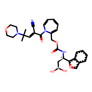 CC(C)(C=C(C#N)C(=O)N1C=CC=CC=C1COC(=O)N[C@H](CB(O)O)c1occ2ccccc12)N1CCOCC1